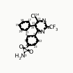 NS(=O)(=O)c1ccc(-c2nc(C(F)(F)F)nc(Cl)c2-c2ccccc2)cc1